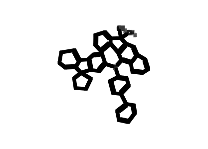 CC1(C)c2ccccc2-c2c1cc1ccccc1c2N(c1ccc(-c2ccccc2)cc1)c1ccc2c(c1)C1(CCCC1)C1=CCCC=C12